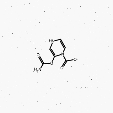 NC(=O)OC1=CNC=CN1C([O])=O